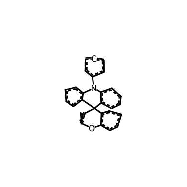 c1ccc(N2c3ccccc3C3(c4ccccc4Oc4ccccc43)c3ccccc32)cc1